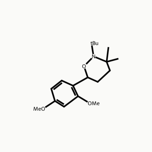 COc1ccc(C2CCC(C)(C)N(C(C)(C)C)O2)c(OC)c1